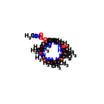 C/C=C/C[C@@H](C)[C@@H](O)C1C(=O)N[C@@H](CC)C(=O)N(C)[C@H](C)C(=O)N(C)[C@@H]([C@H](C)COCCOC(=O)N2CCN(C)CC2)C(=O)N[C@@H](C(C)C)C(=O)N(C)C(CC(C)C)C(=O)N[C@@H](C)C(=O)N[C@H](C)C(=O)N(C)[C@@H](CC(C)C)C(=O)N(C)[C@@H](CC(C)C)C(=O)N(C)[C@@H](C(C)C)C(=O)N1C